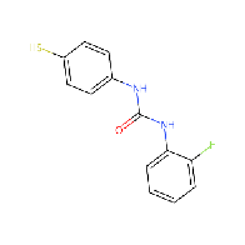 O=C(Nc1ccc(S)cc1)Nc1ccccc1F